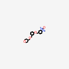 Cn1c(=O)n(C)c2cc(COc3cccc(COCC4CCOCC4)c3)ccc21